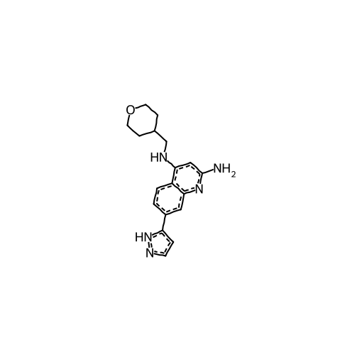 Nc1cc(NCC2CCOCC2)c2ccc(-c3ccn[nH]3)cc2n1